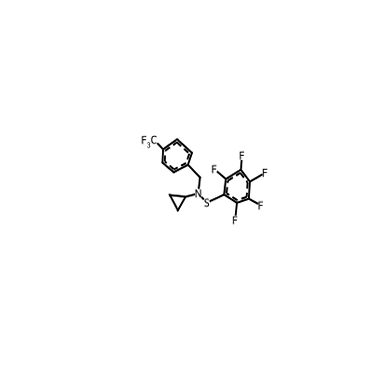 Fc1c(F)c(F)c(SN(Cc2ccc(C(F)(F)F)cc2)C2CC2)c(F)c1F